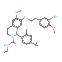 CCNC(=O)N1CCc2cc(OC)c(OCCc3ccc(OC)c(N)c3)cc2C1c1ccc(C(F)(F)F)cc1C